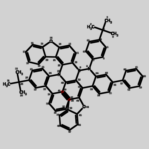 CC(C)(C)c1ccc(N2B3c4ccc5oc6ccccc6c5c4N(c4ccc(C(C)(C)C)cc4-c4ccccc4)c4cc5c(oc6ccccc65)c(c43)-c3ccc(-c4ccccc4)cc32)cc1